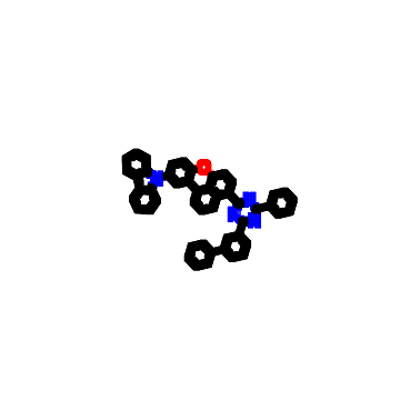 c1ccc(-c2cccc(-c3nc(-c4ccccc4)nc(-c4ccc5c6c(cccc46)-c4cc(-n6c7ccccc7c7ccccc76)ccc4O5)n3)c2)cc1